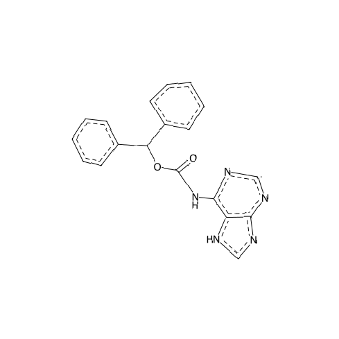 O=C(Nc1n[c]nc2nc[nH]c12)OC(c1ccccc1)c1ccccc1